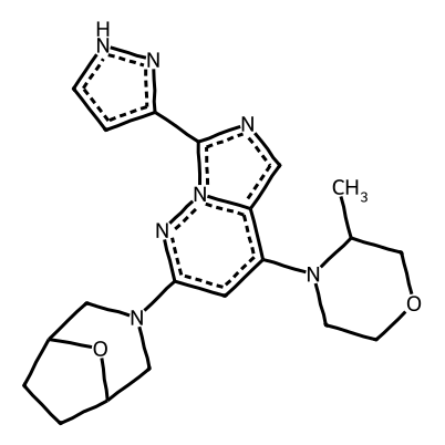 CC1COCCN1c1cc(N2CC3CCC(C2)O3)nn2c(-c3cc[nH]n3)ncc12